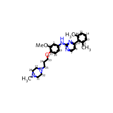 COc1cc(Nc2nccc(-c3c(C)cccc3C)n2)ccc1OCCCN1CCN(C)CC1